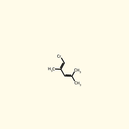 CC(C)=CC(C)=[CH][Cr]